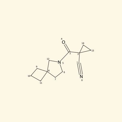 N#CC1(C(=O)N2CCC3(CCC3)C2)CC1